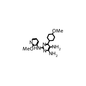 COc1ncccc1Nc1nc(N)c(N)c(C2CCC(OC)CC2)n1